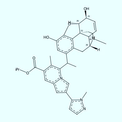 Cc1c(C(=O)OC(C)C)cc2cc(-c3ccnn3C)cn2c1C(C)c1cc(O)c2c3c1C[C@@H]1[C@@H]4C=C[C@H](O)[C@H](O2)[C@]34CCN1C